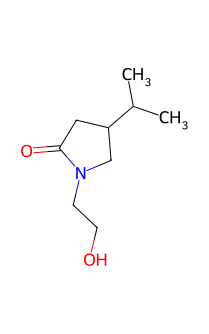 CC(C)C1CC(=O)N(CCO)C1